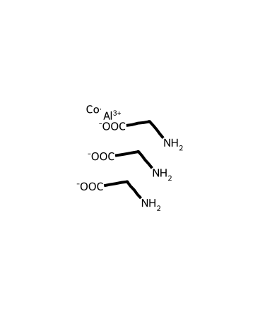 NCC(=O)[O-].NCC(=O)[O-].NCC(=O)[O-].[Al+3].[Co]